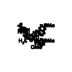 C=C[C@@H]1C[C@]1(NC(=O)[C@@H]1C[C@@H](Oc2nccc3cc(OC)ccc23)CN1C(=O)C(Nc1nc(OC)nc(OC)n1)C(C)C)C(=O)NS(=O)(=O)C1CC1